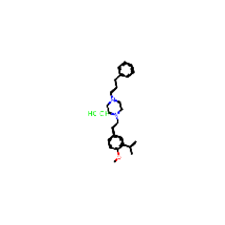 COc1ccc(CCN2CCN(CCCc3ccccc3)CC2)cc1C(C)C.Cl.Cl